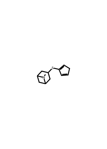 CN1C2CC(SC3=CCC=C3)CC1C2